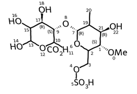 CO[C@@H]1C(COS(=O)(=O)O)O[C@H](O[C@@H]2C(C(=O)O)OC(O)C(O)[C@H]2O)C(C)[C@H]1O